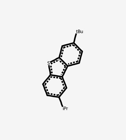 CC(C)c1ccc2sc3cc(C(C)(C)C)ccc3c2c1